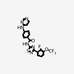 O=C(Nc1nc(-c2cccc(OC(F)(F)F)c2F)ns1)c1ccc(Nc2ccncn2)cc1